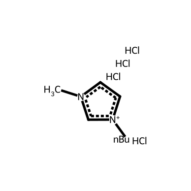 CCCC[n+]1ccn(C)c1.Cl.Cl.Cl.Cl